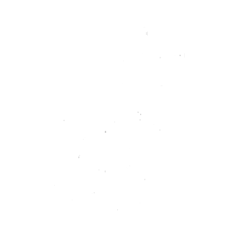 O=C(O)c1ccccc1.O=C(O)c1ccccc1.O=[N+]([O-])c1ccc(O)c(O)c1